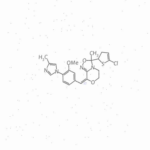 COc1cc(/C=C2/OCCN3C2=NOC3(C)C2CC=C(Cl)S2)ccc1-n1cnc(C)c1